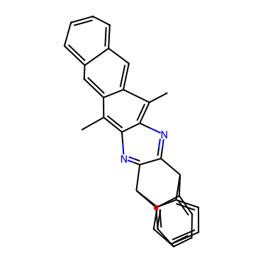 Cc1c2cc3ccccc3cc2c(C)c2nc3c(nc12)C1c2ccccc2C3c2ccccc21